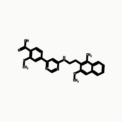 COc1cc2ccccc2c(C)c1CCNc1cc(-c2ccc(C(=O)O)c(SC)c2)ncn1